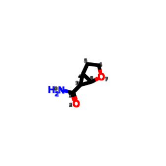 NC(=O)C1C2CCOC21